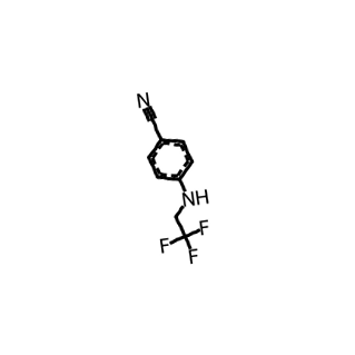 N#Cc1ccc(NCC(F)(F)F)cc1